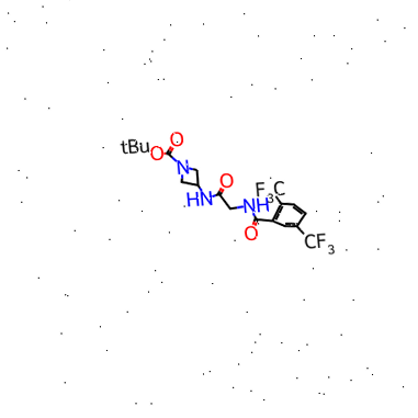 CC(C)(C)OC(=O)N1CC(NC(=O)CNC(=O)c2cc(C(F)(F)F)ccc2C(F)(F)F)C1